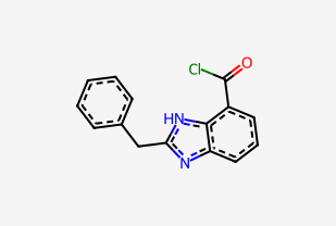 O=C(Cl)c1cccc2nc(Cc3ccccc3)[nH]c12